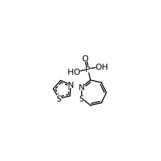 O=P(O)(O)C1=NSC=CC=C1.c1cscn1